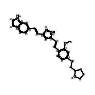 COc1cc(OCC2CCCO2)ccc1C=Cc1cc(C=Cc2ccc3cc[nH]c3c2)n[nH]1